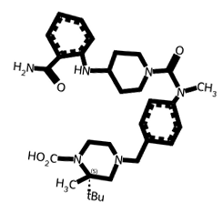 CN(C(=O)N1CCC(Nc2ccccc2C(N)=O)CC1)c1ccc(CN2CCN(C(=O)O)[C@@](C)(C(C)(C)C)C2)cc1